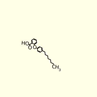 CCCCCCCCc1ccc(Oc2ccccc2C(=O)O)cc1